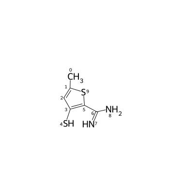 Cc1cc(S)c(C(=N)N)s1